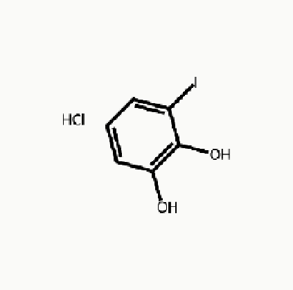 Cl.Oc1cccc(I)c1O